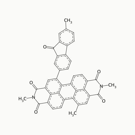 Cc1ccc2c(c1)C(=O)c1cc(-c3cc4c5c(ccc6c7c(C)cc8c9c(ccc(c3c56)c97)C(=O)N(C)C8=O)C(=O)N(C)C4=O)ccc1-2